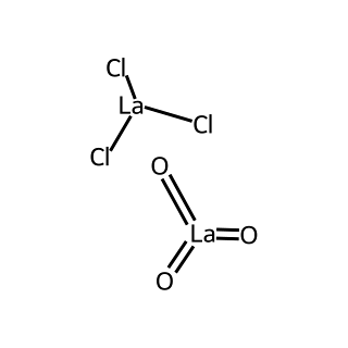 [Cl][La]([Cl])[Cl].[O]=[La](=[O])=[O]